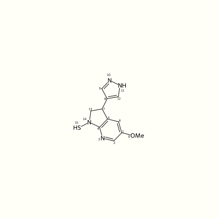 COc1cnc2c(c1)C(c1cn[nH]c1)CN2S